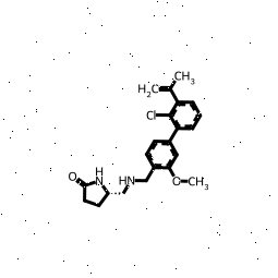 C=C(C)c1cccc(-c2ccc(CNC[C@@H]3CCC(=O)N3)c(OC)c2)c1Cl